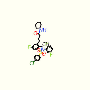 C[C@H](c1ccc(F)cc1CCCC(=O)NC1CCCCC1)N(c1cc(F)ccc1F)S(=O)(=O)c1ccc(Cl)cc1